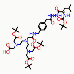 CC(C)C[C@@H](NC(=O)OC(C)(C)C)C(=O)NNC(=O)Cc1ccc(CNC(=O)CN(CCN(CC(=O)O)CC(=O)OC(C)(C)C)CCN(CC(=O)OC(C)(C)C)CC(=O)OC(C)(C)C)cc1